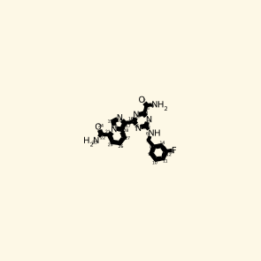 NC(=O)c1nc(NCc2cccc(F)c2)nc(-c2ncn3c(C(N)=O)cccc23)n1